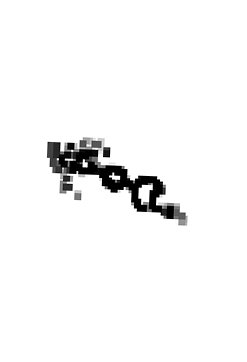 CC1(C)CB(c2ccc(C3=C/CC(N)/C=C/C=C\3)cc2)OC1(C)C